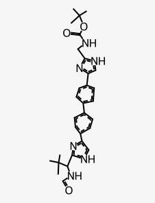 CC(C)(C)OC(=O)NCc1nc(-c2ccc(-c3ccc(-c4c[nH]c(C(NC=O)C(C)(C)C)n4)cc3)cc2)c[nH]1